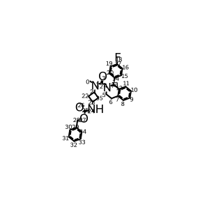 CN(C(=O)N1CCc2ccccc2[C@@H]1c1ccc(F)cc1)[C@H]1C[C@H](NC(=O)OCc2ccccc2)C1